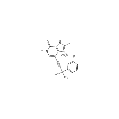 CCOC(=O)c1c(C)[nH]c2c(=O)n(C)cc(C#CC(O)(c3cccc(Br)c3)C(F)(F)F)c12